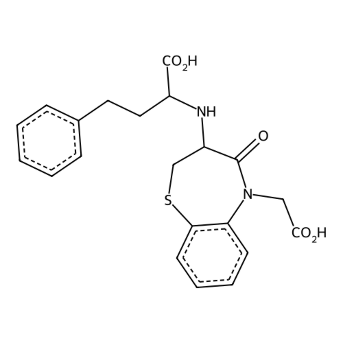 O=C(O)CN1C(=O)C(NC(CCc2ccccc2)C(=O)O)CSc2ccccc21